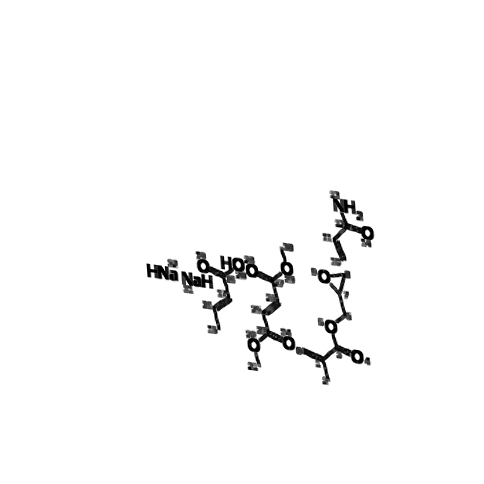 C=C(C)C(=O)OCC1CO1.C=CC(N)=O.CC=CC(=O)O.COC(=O)/C=C/C(=O)OC.[NaH].[NaH]